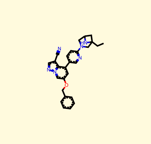 CCC12CC(CN(c3ccc(-c4cc(OCc5ccccc5)cn5ncc(C#N)c45)cn3)C1)N2